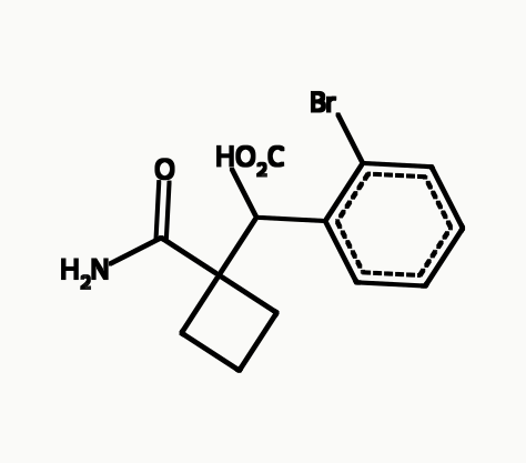 NC(=O)C1(C(C(=O)O)c2ccccc2Br)CCC1